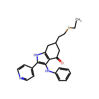 CCSCCC1CC(=O)c2c([nH]c(-c3ccncc3)c2Nc2ccccc2)C1